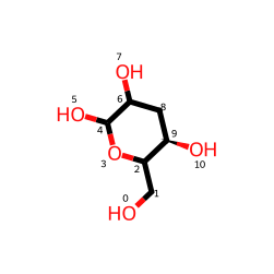 OCC1OC(O)C(O)C[C@H]1O